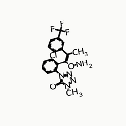 C/C(=C(\ON)c1c(Cl)cccc1-n1nnn(C)c1=O)c1cccc(C(F)(F)F)c1